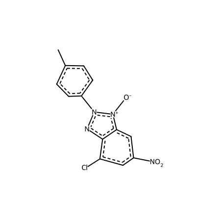 Cc1ccc(-n2nc3c(Cl)cc([N+](=O)[O-])cc3[n+]2[O-])cc1